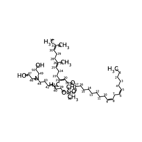 CCCCC/C=C\C/C=C\CCCCCCCC(OC/C=C(\C)CC/C=C(\C)CCC=C(C)C)O[Si](C)(C)OCCCCCCN(CCO)CCO